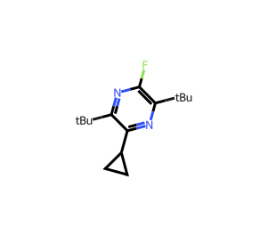 CC(C)(C)c1nc(C2CC2)c(C(C)(C)C)nc1F